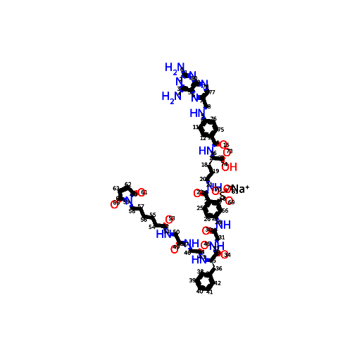 Nc1nc(N)c2nc(CNc3ccc(C(=O)N[C@@H](CCCNC(=O)c4ccc(NC(=O)CNC(=O)[C@H](Cc5ccccc5)NC(=O)CNC(=O)CNC(=O)CCCCCN5C(=O)C=CC5=O)cc4S(=O)(=O)[O-])C(=O)O)cc3)cnc2n1.[Na+]